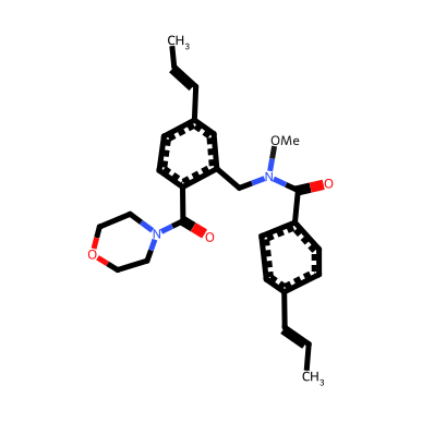 C/C=C/c1ccc(C(=O)N(Cc2cc(/C=C/C)ccc2C(=O)N2CCOCC2)OC)cc1